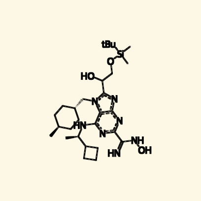 C[C@@H](Nc1nc(C(=N)NO)nc2nc(C(O)CO[Si](C)(C)C(C)(C)C)n(C[C@H]3CC[C@H](C)CC3)c12)C1CCC1